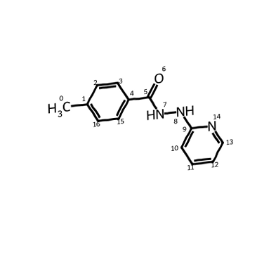 Cc1ccc(C(=O)NNc2ccccn2)cc1